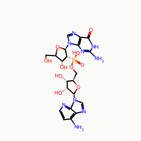 Nc1nc2c(ncn2[C@@H]2OC(CO)[C@@H](O)[C@H]2P(=O)(O)OC[C@H]2O[C@@H](n3cnc4c(N)ccnc43)[C@H](O)[C@@H]2O)c(=O)[nH]1